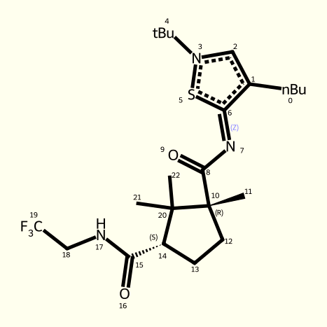 CCCCc1cn(C(C)(C)C)s/c1=N\C(=O)[C@]1(C)CC[C@H](C(=O)NCC(F)(F)F)C1(C)C